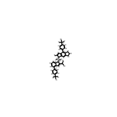 CC1=Cc2c(cc3c(c2-c2ccc(C(C)(C)C)cc2)CCC3)C1[Si](C)(C)C1C(C(C)C)=Cc2c(-c3ccc(C(C)(C)C)cc3)cccc21